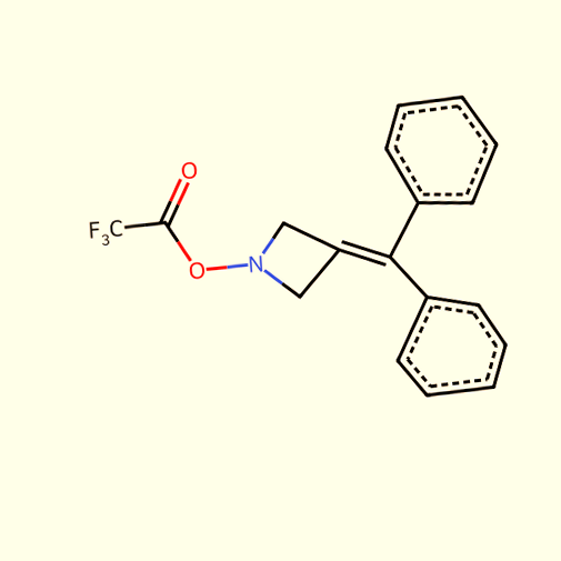 O=C(ON1CC(=C(c2ccccc2)c2ccccc2)C1)C(F)(F)F